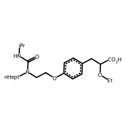 CCCCCCCN(CCOc1ccc(CC(OCC)C(=O)O)cc1)C(=O)NC(C)C